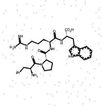 CC(C)C[C@H](N)C(=O)N1CCC[C@H]1C(=O)N[C@@H](CCCNC(=N)N)C(=O)N[C@@H](Cc1c[nH]c2ccccc12)C(=O)O